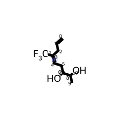 C=CC/C(=C\C[C@H](O)C(C)O)C(F)(F)F